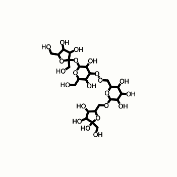 OCC1OC(OC2(CO)OC(CO)C(O)C2O)C(O)C(OOCC2OC(OCC3OC(O)(CO)C(O)C3O)C(O)C(O)C2O)C1O